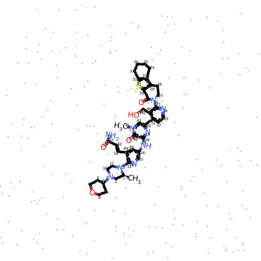 C[C@H]1CN(C2CCOCC2)CCN1c1ncc(Nc2nc(-c3ccnc(N4CCc5c(sc6c5CCCC6)C4=O)c3CO)cn(C)c2=O)cc1C=CC(N)=O